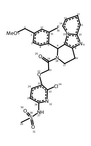 COCc1ccc(C2c3c(nc4ccccn34)CCN2C(=O)COc2ccc(NS(C)(=O)=O)nc2Cl)c(F)c1